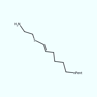 CCCCCCCCCC=CSCCN